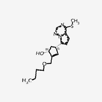 CCCCOCC1=C[C@@H](c2ccc3c(SC)ncnn23)C[C@H]1O